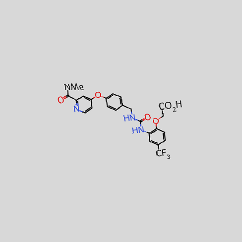 CNC(=O)c1cc(Oc2ccc(CNC(=O)Nc3cc(C(F)(F)F)ccc3OCC(=O)O)cc2)ccn1